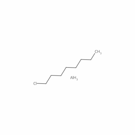 CCCCCCCCCl.[AlH3]